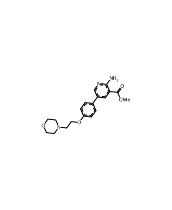 COC(=O)c1cc(-c2ccc(OCCN3CCOCC3)cc2)cnc1N